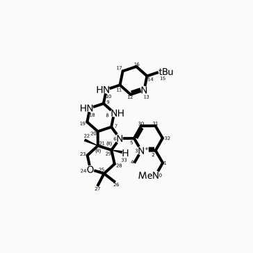 CNCC1=[N+](C)C(N2C3NC(NC4C=NC(C(C)(C)C)CC4)NCC3[C@@]3(C)COC(C)(C)C[C@@H]23)=CCC1